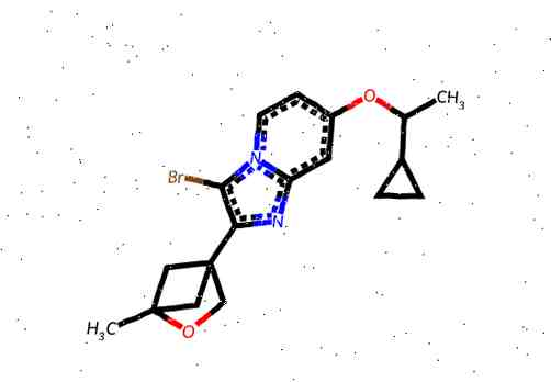 CC(Oc1ccn2c(Br)c(C34COC(C)(C3)C4)nc2c1)C1CC1